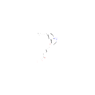 COc1ccc2nccc(OCC=CCC(O)CO)c2c1